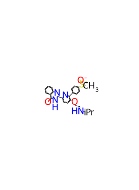 CC(C)NCCOc1ccc(-c2nc3ccccc3c(=O)[nH]2)nc1-c1ccc([S+](C)[O-])cc1